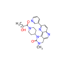 C[C@H](O)C(=O)N1CCC(N2C(=O)N(C)Cc3cnc4ccc(-c5cccnc5)nc4c32)CC1